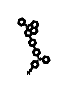 N#Cc1ccc(N(c2ccccc2)c2ccc(-c3ccc(-c4ccc5c6c4ccc4cccc(c46)n5-c4ccccc4)cc3)cc2)cc1